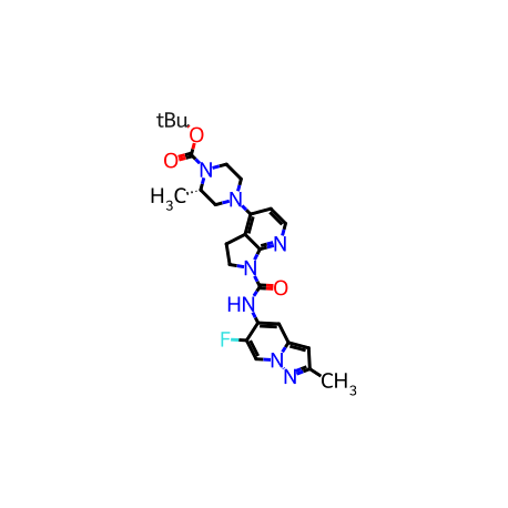 Cc1cc2cc(NC(=O)N3CCc4c(N5CCN(C(=O)OC(C)(C)C)[C@@H](C)C5)ccnc43)c(F)cn2n1